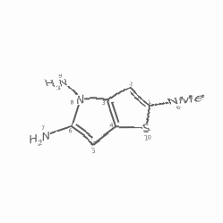 CNc1cc2c(cc(N)n2N)s1